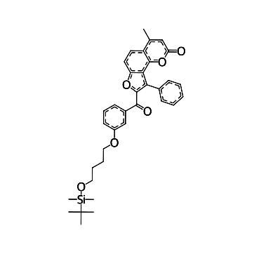 Cc1cc(=O)oc2c1ccc1oc(C(=O)c3cccc(OCCCCO[Si](C)(C)C(C)(C)C)c3)c(-c3ccccc3)c12